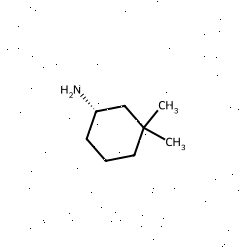 CC1(C)CCC[C@H](N)C1